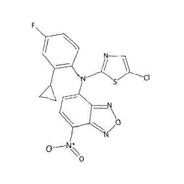 O=[N+]([O-])c1ccc(N(c2ncc(Cl)s2)c2ccc(F)cc2C2CC2)c2nonc12